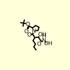 CCCCC(C(=O)N1CCCC1C(=O)OC(C)(C)C)C(O)C(=O)NO